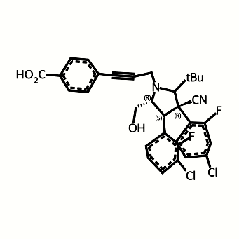 CC(C)(C)C1N(CC#Cc2ccc(C(=O)O)cc2)[C@@H](CO)[C@H](c2cccc(Cl)c2F)[C@@]1(C#N)c1ccc(Cl)cc1F